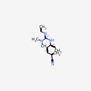 C=C/N=C(/NC(/C=C\C(=C)C#N)=C/C)N(C)C